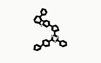 c1ccc(-c2ccc(-c3nc(-c4ccccc4)nc(-c4cccc(-c5ccc6c(c5)sc5cccc(-c7ccccc7)c56)c4)n3)cc2)cc1